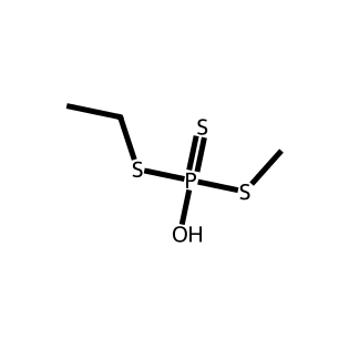 CCSP(O)(=S)SC